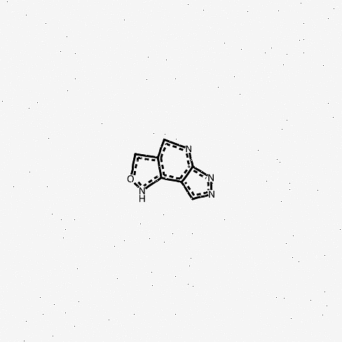 c1nc2nncc2c2[nH]occ12